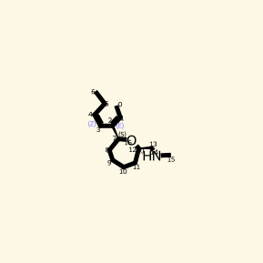 C/C=C(\C=C/CC)[C@@H]1CCCC[C@H](CNC)O1